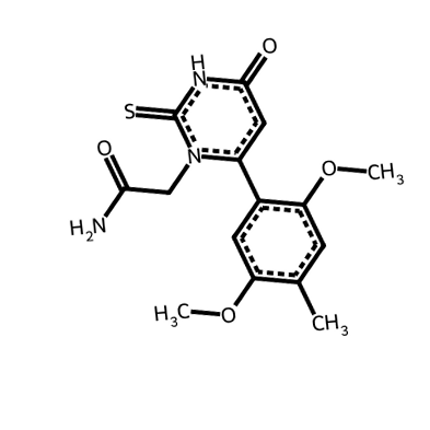 COc1cc(-c2cc(=O)[nH]c(=S)n2CC(N)=O)c(OC)cc1C